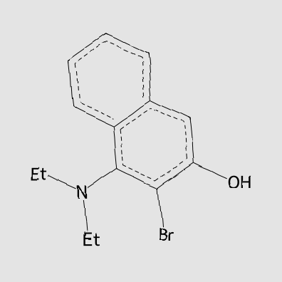 CCN(CC)c1c(Br)c(O)cc2ccccc12